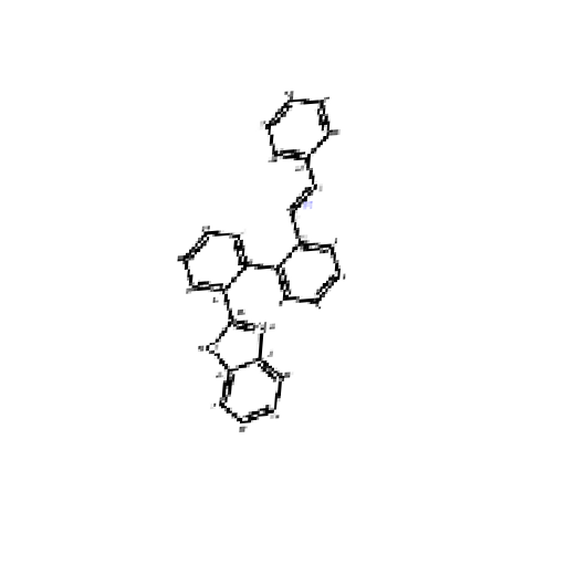 C(=C\c1ccccc1-c1ccccc1-c1nc2ccccc2o1)/c1ccccc1